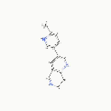 FC(F)(F)c1ccc(-c2cnc3c(c2)C=NCC3)cn1